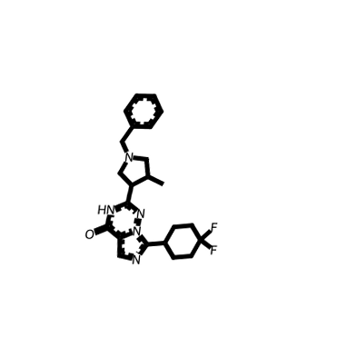 CC1CN(Cc2ccccc2)CC1c1nn2c(C3CCC(F)(F)CC3)ncc2c(=O)[nH]1